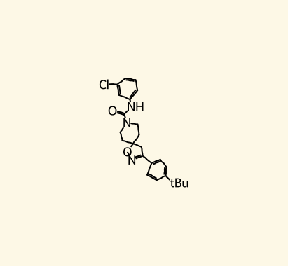 CC(C)(C)c1ccc(C2=NOC3(CCN(C(=O)Nc4cccc(Cl)c4)CC3)C2)cc1